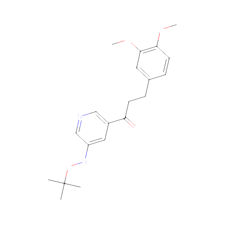 COc1ccc(CCC(=O)c2cncc(NOC(C)(C)C)c2)cc1OC